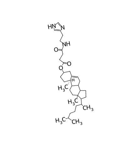 CC(C)CCCC(C)C1CCC2C3CC=C4CC(OC(=O)CCC(=O)NCCc5c[nH]cn5)CC[C@]4(C)C3CCC12C